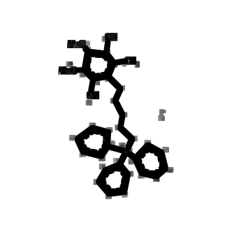 COc1c(O)c(C)c(CCCCC[P+](c2ccccc2)(c2ccccc2)c2ccccc2)c(O)c1OC.[I-]